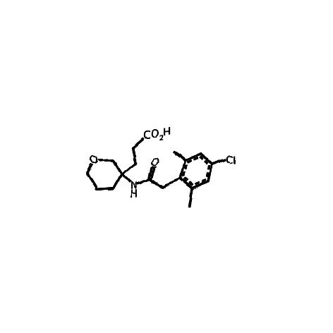 Cc1cc(Cl)cc(C)c1CC(=O)NC1(CCC(=O)O)CCCOC1